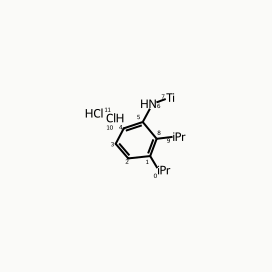 CC(C)c1cccc([NH][Ti])c1C(C)C.Cl.Cl